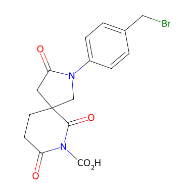 O=C(O)N1C(=O)CCC2(CC(=O)N(c3ccc(CBr)cc3)C2)C1=O